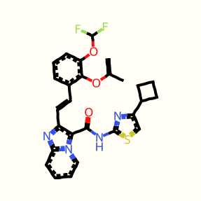 C=C(C)Oc1c(/C=C/c2nc3ccccn3c2C(=O)Nc2nc(C3CCC3)cs2)cccc1OC(F)F